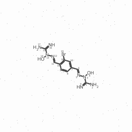 N=C(N)N(O)N=Cc1ccc(C=NN(O)C(=N)N)c(Br)c1